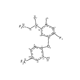 Cc1cc(F)c(Oc2ncc(C(F)(F)F)cc2Cl)cc1[S+]([O-])CC(F)(F)F